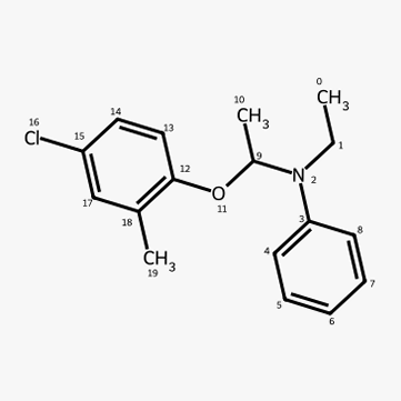 CCN(c1ccccc1)C(C)Oc1ccc(Cl)cc1C